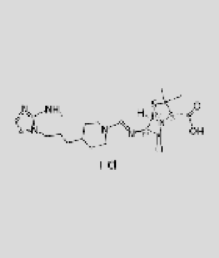 CC1(C)S[C@@H]2[C@H](N=CN3CCC(CCCn4ccnc4N)CC3)C(=O)N2[C@H]1C(=O)O.Cl